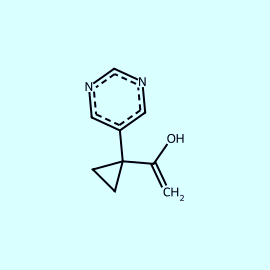 C=C(O)C1(c2cncnc2)CC1